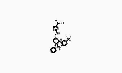 O=C(O)c1csc(NC[C@H]2CC[C@@H]3[C@H](O2)c2cc(C(F)(F)F)ccc2N[C@H]3c2ccccc2)n1